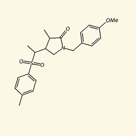 COc1ccc(CN2CC(C(C)S(=O)(=O)c3ccc(C)cc3)C(C)C2=O)cc1